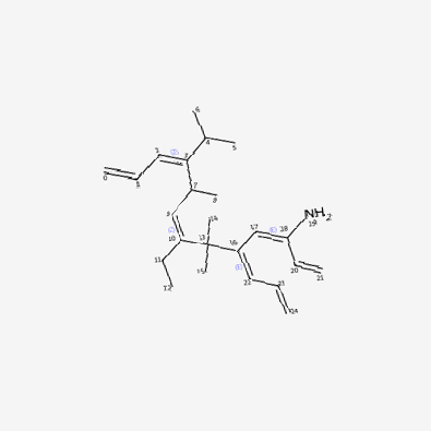 C=C/C=C(/C(C)C)C(C)/C=C(/CC)C(C)(C)C(/C=C(/N)C=C)=C/C=C